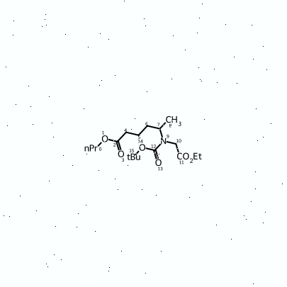 CCCOC(=O)CCCC(C)N(CC(=O)OCC)C(=O)OC(C)(C)C